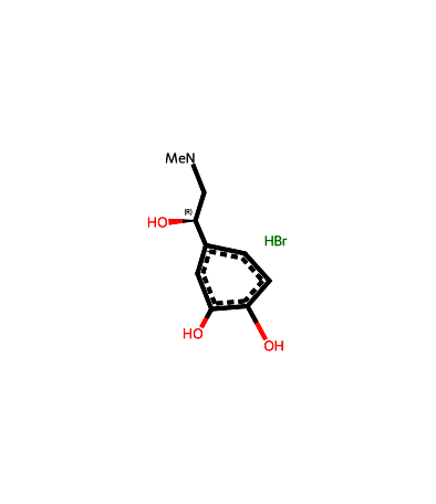 Br.CNC[C@H](O)c1ccc(O)c(O)c1